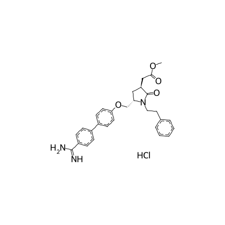 COC(=O)C[C@@H]1C[C@@H](COc2ccc(-c3ccc(C(=N)N)cc3)cc2)N(CCc2ccccc2)C1=O.Cl